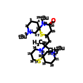 CC(C)(C)N1CCCC2(C1)SC(CC(C)(C)N1CCCSC13CCCN(C(C)(C)C)C3)CC(=O)N2C(C)(C)C